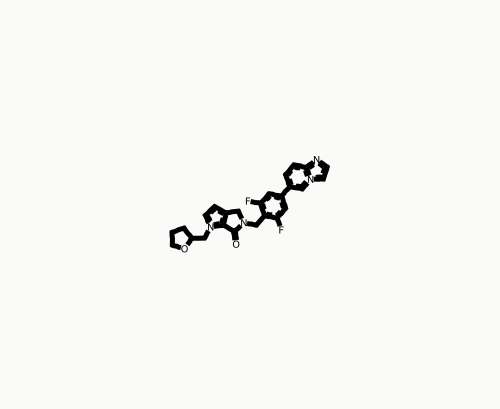 O=C1c2c(ccn2CC2CCCO2)CN1Cc1c(F)cc(-c2ccc3nccn3c2)cc1F